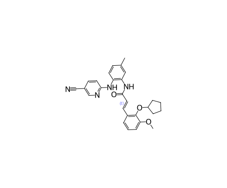 COc1cccc(/C=C/C(=O)Nc2cc(C)ccc2Nc2ccc(C#N)cn2)c1OC1CCCC1